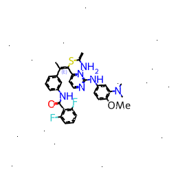 C=C(N)S/C(=C(\C)c1cccc(NC(=O)c2c(F)cccc2F)c1)c1ccnc(Nc2ccc(OC)c(N(C)C)c2)n1